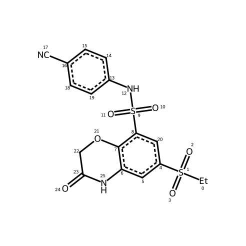 CCS(=O)(=O)c1cc2c(c(S(=O)(=O)Nc3ccc(C#N)cc3)c1)OCC(=O)N2